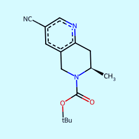 C[C@@H]1Cc2ncc(C#N)cc2CN1C(=O)OC(C)(C)C